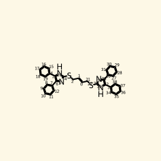 C(=CCSc1nc(-c2ccccc2)c(-c2ccccc2)[nH]1)CSc1nc(-c2ccccc2)c(-c2ccccc2)[nH]1